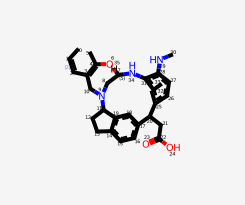 C/C=C\C1=C(C)O[C@H]2CN(C1)C1CCc3ccc(cc31)C(CC(=O)O)c1ccc(NC)c(c1C)N2